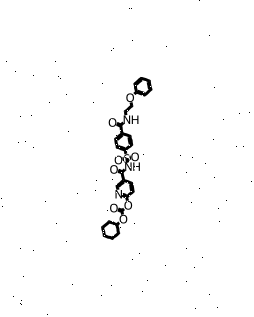 O=C(Oc1ccc(C(=O)NS(=O)(=O)c2ccc(C(=O)NCCOc3ccccc3)cc2)cn1)OC1CCCCC1